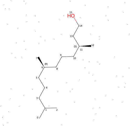 CC(C)CCC[C@@H](C)CCC[C@H](C)CCO